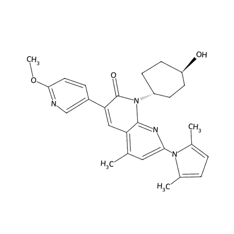 COc1ccc(-c2cc3c(C)cc(-n4c(C)ccc4C)nc3n([C@H]3CC[C@H](O)CC3)c2=O)cn1